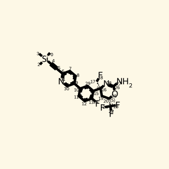 C[Si](C)(C)C#Cc1ccc(-c2ccc(F)c([C@]3(CF)C[C@@H](C(F)(F)F)OC(N)=N3)c2)cn1